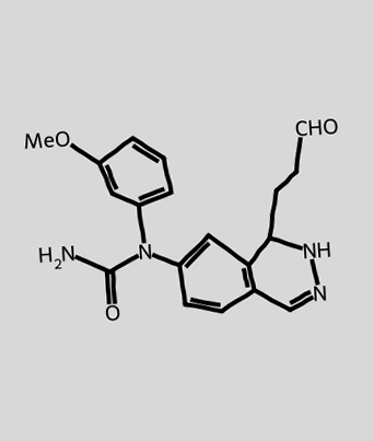 COc1cccc(N(C(N)=O)c2ccc3c(c2)C(CCC=O)NN=C3)c1